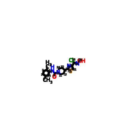 Cc1ccc(C)c(NC(=O)N2CCC(c3nc(/C(Cl)=N/O)cs3)CC2)c1